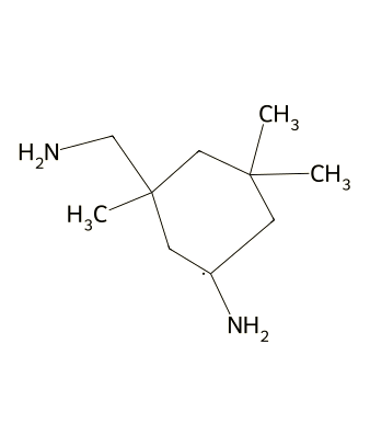 CC1(C)C[C](N)CC(C)(CN)C1